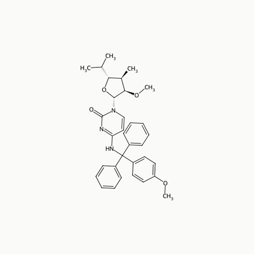 COc1ccc(C(Nc2ccn([C@@H]3O[C@H](C(C)C)[C@@H](C)[C@H]3OC)c(=O)n2)(c2ccccc2)c2ccccc2)cc1